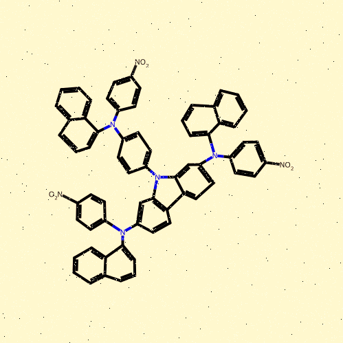 O=[N+]([O-])c1ccc(N(c2ccc(-n3c4cc(N(c5ccc([N+](=O)[O-])cc5)c5cccc6ccccc56)ccc4c4ccc(N(c5ccc([N+](=O)[O-])cc5)c5cccc6ccccc56)cc43)cc2)c2cccc3ccccc23)cc1